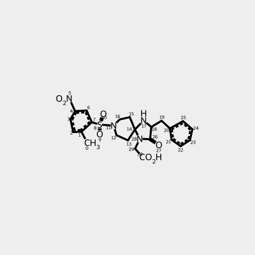 Cc1ccc([N+](=O)[O-])cc1S(=O)(=O)N1CCC2(CC1)NC(Cc1ccccc1)C(=O)N2CC(=O)O